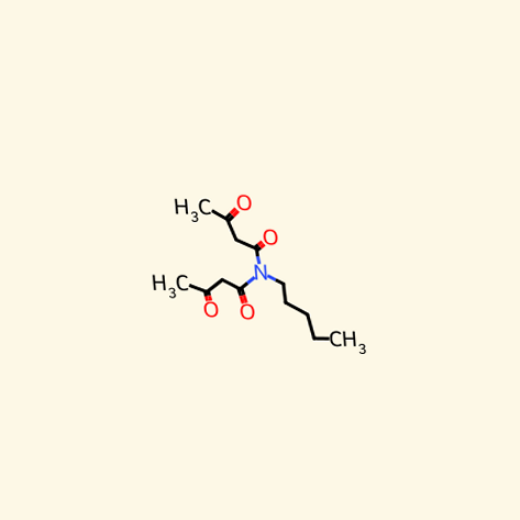 CCCCCN(C(=O)CC(C)=O)C(=O)CC(C)=O